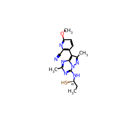 CC[C@@H](S)Nc1nc(C)nc2c(-c3ccc(OC)nc3C#N)c(C)nn12